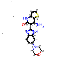 Nc1c(-c2nc3ccc(N4CCOCC4)cc3[nH]2)c(=O)[nH]c2ccsc12